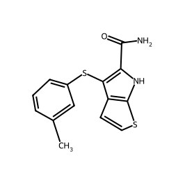 Cc1cccc(Sc2c(C(N)=O)[nH]c3sccc23)c1